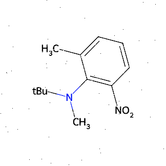 Cc1cccc([N+](=O)[O-])c1N(C)C(C)(C)C